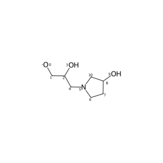 [O]CC(O)CN1CCC(O)C1